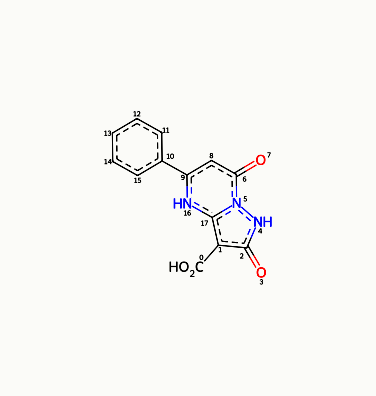 O=C(O)c1c(=O)[nH]n2c(=O)cc(-c3ccccc3)[nH]c12